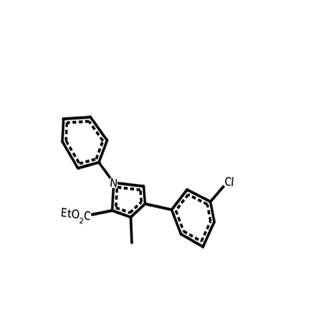 CCOC(=O)c1c(C)c(-c2cccc(Cl)c2)cn1-c1ccccc1